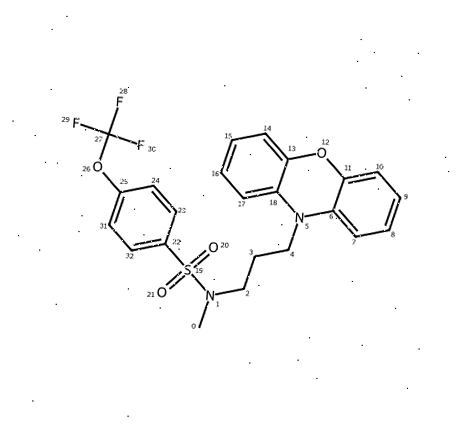 CN(CCCN1c2ccccc2Oc2ccccc21)S(=O)(=O)c1ccc(OC(F)(F)F)cc1